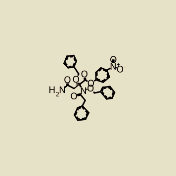 NC(=O)C[C@@](OCc1ccccc1)(C(=O)Oc1ccc([N+](=O)[O-])cc1)N(OCc1ccccc1)C(=O)Cc1ccccc1